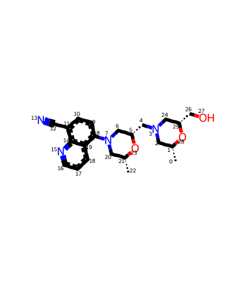 C[C@@H]1CN(C[C@H]2CN(c3ccc(C#N)c4ncccc34)C[C@@H](C)O2)C[C@H](CO)O1